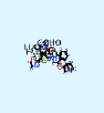 COc1ccccc1C(CNc1sc(-c2ncco2)c(C)c1C(=O)N(C=O)C(C)(C)C(=O)O)OC1CN2CCC1CC2